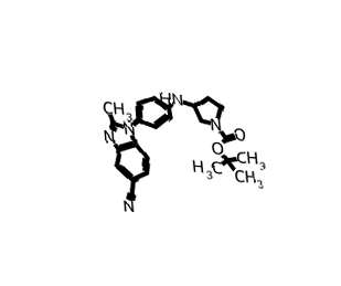 Cc1nc2cc(C#N)ccc2n1-c1ccc(NC2CCN(C(=O)OC(C)(C)C)C2)cc1